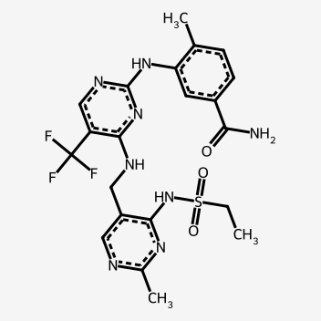 CCS(=O)(=O)Nc1nc(C)ncc1CNc1nc(Nc2cc(C(N)=O)ccc2C)ncc1C(F)(F)F